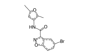 Cc1cc(NC(=O)c2noc3ccc(Br)cc23)c(C)o1